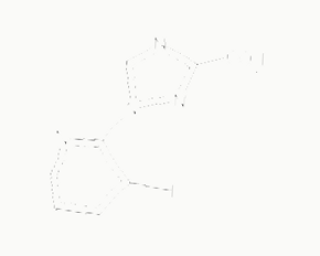 O=C(O)c1ncn(-c2ncccc2F)n1